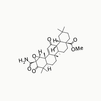 COC(=O)[C@]12CCC(C)(C)C[C@H]1[C@H]1C(=O)C=C3[C@]4(C)[C@@H](CC[C@@]3(C)[C@]1(C)CC2)C(C)(C)C(=O)[C@]1(C(N)=O)O[C@@H]14